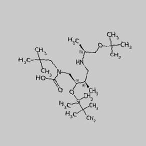 C[C@H](CN[C@@H](C)COC(C)(C)C)[C@H](CN(CC(C)(C)C)C(=O)O)O[Si](C)(C)C(C)(C)C